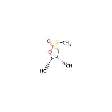 C#CC1CP(=O)(SC)OC1C#C